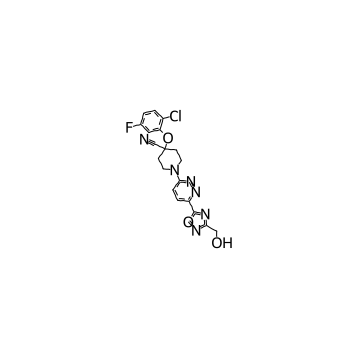 N#CC1(Oc2cc(F)ccc2Cl)CCN(c2ccc(-c3nc(CO)no3)nn2)CC1